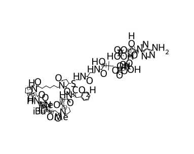 CC[C@H](C)[C@@H]([C@@H](CC(=O)N1CCC[C@H]1[C@H](OC)[C@@H](C)C(=O)N[C@@H](Cc1ccccc1)C(=O)O)OC)N(C)C(=O)[C@@H](NC(=O)[C@@H]1[C@H]2CC[C@@H](C2)N1C(=O)CCCCCN1C(=O)CC(SCCNC(=O)CCNC(=O)[C@H](O)C(C)(C)COP(=O)(O)OP(=O)(O)OC[C@H]2O[C@@H](n3cnc4c(N)ncnc43)[C@@H](O)[C@H]2OP(=O)(O)O)C1=O)C(C)C